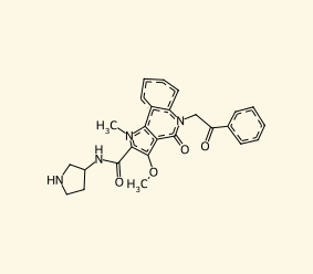 COc1c(C(=O)NC2CCNC2)n(C)c2c1c(=O)n(CC(=O)c1ccccc1)c1ccccc21